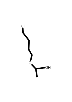 C[C](O)OCCCCCl